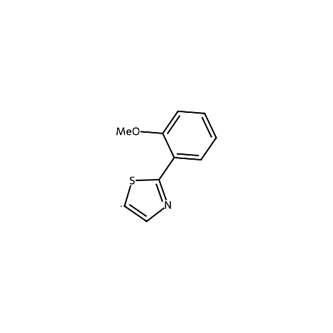 COc1ccccc1-c1nc[c]s1